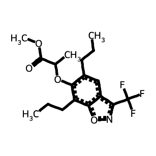 CCCc1cc2c(C(F)(F)F)noc2c(CCC)c1OC(C)C(=O)OC